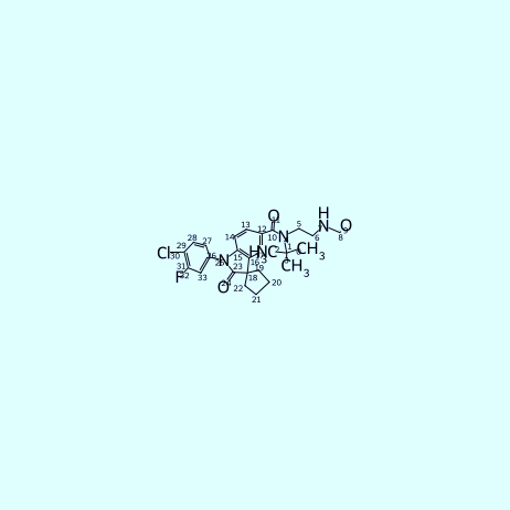 CC(C)(C)N(CCNC=O)C(=O)c1ccc2c(n1)C1(CCCC1)C(=O)N2c1ccc(Cl)c(F)c1